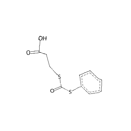 O=C(O)CCSC(=O)Sc1ccccc1